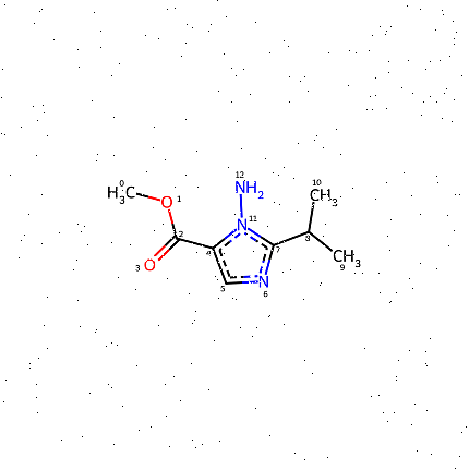 COC(=O)c1cnc(C(C)C)n1N